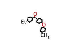 CCc1ccc(C(=O)c2ccc(Oc3ccc(C)cc3)cc2)cc1